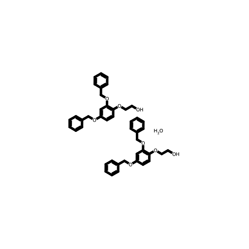 O.OCCOc1ccc(OCc2ccccc2)cc1OCc1ccccc1.OCCOc1ccc(OCc2ccccc2)cc1OCc1ccccc1